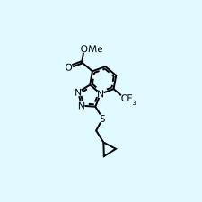 COC(=O)c1ccc(C(F)(F)F)n2c(SCC3CC3)nnc12